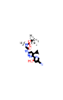 CN(CC(=O)Nc1cc(C2CC2)c(-c2ncc(C#N)cc2O)nn1)C(=O)OC(C)(C)C